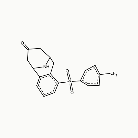 O=C1CC2Cc3c(cccc3S(=O)(=O)c3ccc(C(F)(F)F)cc3)C(C1)N2